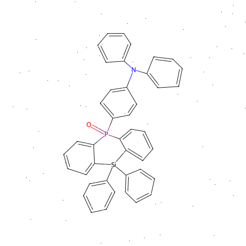 O=P1(c2ccc(N(c3ccccc3)c3ccccc3)cc2)c2ccccc2[Si](c2ccccc2)(c2ccccc2)c2ccccc21